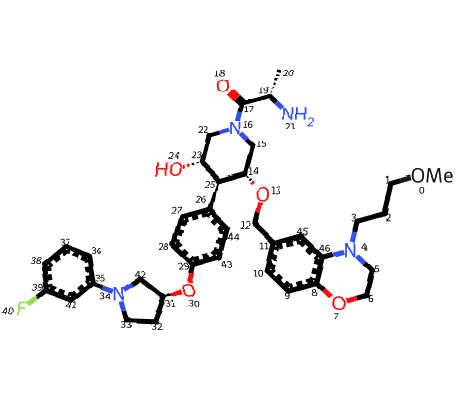 COCCCN1CCOc2ccc(CO[C@H]3CN(C(=O)[C@H](C)N)C[C@@H](O)[C@@H]3c3ccc(O[C@H]4CCN(c5cccc(F)c5)C4)cc3)cc21